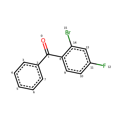 O=C(c1ccccc1)c1ccc(F)cc1Br